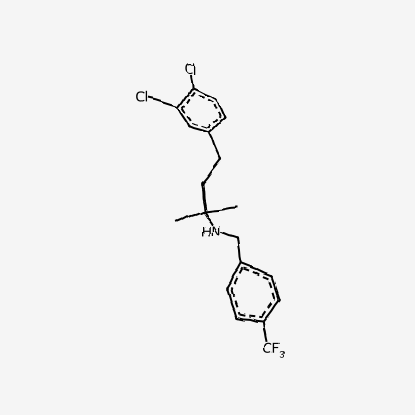 CC(C)(CCc1ccc(Cl)c(Cl)c1)NCc1ccc(C(F)(F)F)cc1